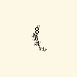 C[C@@H](C(=O)NCCNC(=O)O)N1CC[C@H](NS(=O)(=O)c2ccc3cc(Cl)ccc3c2)C1=O